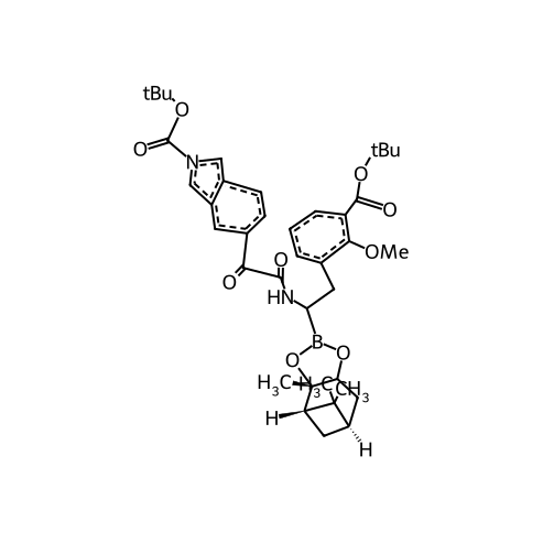 COc1c(CC(NC(=O)C(=O)c2ccc3cn(C(=O)OC(C)(C)C)cc3c2)B2OC3C[C@H]4C[C@@H](C4(C)C)[C@]3(C)O2)cccc1C(=O)OC(C)(C)C